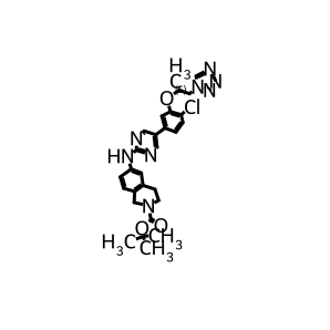 C[C@@H](Cn1cnnn1)Oc1cc(-c2cnc(Nc3ccc4c(c3)CCN(C(=O)OC(C)(C)C)C4)nc2)ccc1Cl